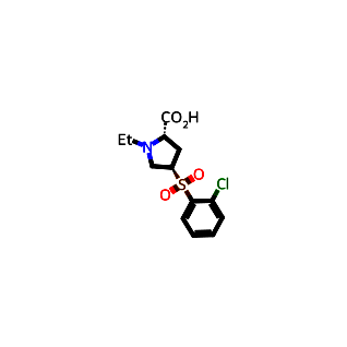 CCN1C[C@H](S(=O)(=O)c2ccccc2Cl)C[C@H]1C(=O)O